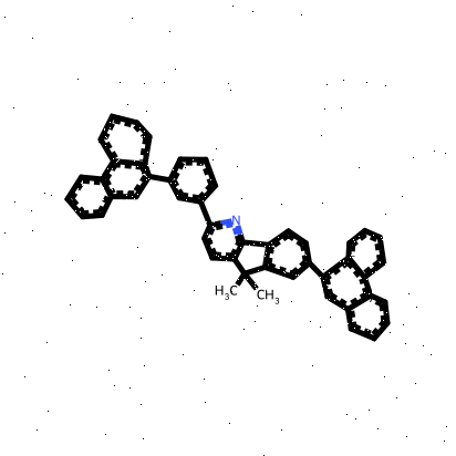 CC1(C)c2cc(-c3cc4ccccc4c4ccccc34)ccc2-c2nc(-c3cccc(-c4cc5ccccc5c5ccccc45)c3)ccc21